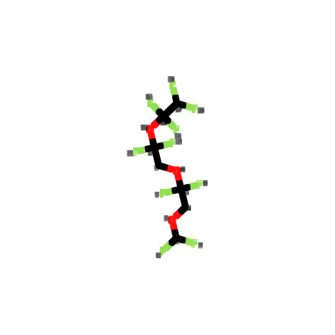 FC(F)OCC(F)(F)OCC(F)(F)OC(F)(F)C(F)F